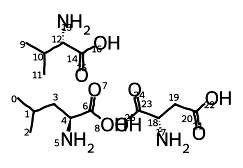 CC(C)C[C@H](N)C(=O)O.CC(C)[C@H](N)C(=O)O.N[C@@H](CC(=O)O)C(=O)O